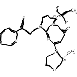 C[C@@H]1COCCN1c1cc(=O)n2c(n1)N(CC(=O)c1ccccn1)CC[C@@H]2C(C)(F)F